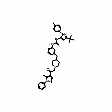 Cc1ccc(-n2nc(C(C)(C)C)cc2NC(=O)Nc2cccc(CC3CCN(CC(=O)c4cnn(-c5ccccc5)c4C)CC3)c2)cc1